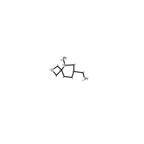 CC(C)CC1CCC2(COC2)N(C(C)C)C1